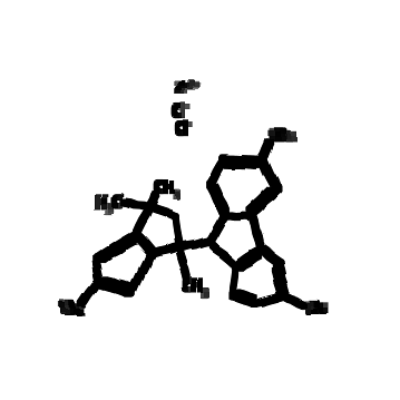 CC(C)(C)C1=CC2C(=C1)C(C)(C)CC2(C)C1c2ccc(C(C)(C)C)cc2-c2cc(C(C)(C)C)ccc21.[Cl-].[Cl-].[Zr+2]